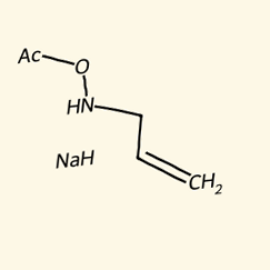 C=CCNOC(C)=O.[NaH]